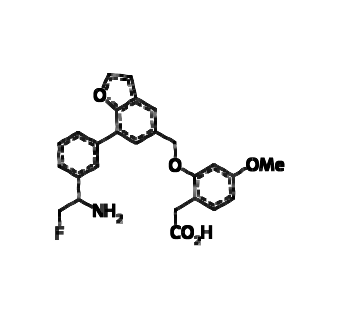 COc1ccc(CC(=O)O)c(OCc2cc(-c3cccc(C(N)CF)c3)c3occc3c2)c1